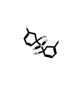 CCCCC1(S(=O)(=O)C2(CCCC)C=CC=C(I)C2)C=CC=C(I)C1